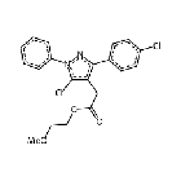 COCCOC(=O)Cc1c(-c2ccc(Cl)cc2)nn(-c2ccccc2)c1Cl